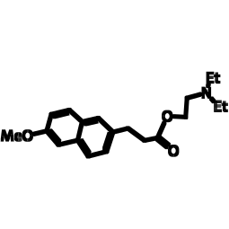 CCN(CC)CCOC(=O)CCc1ccc2cc(OC)ccc2c1